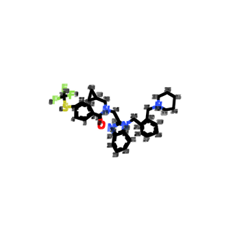 O=C(c1ccc(SC(F)(F)F)cc1)N(Cc1nc2ccccc2n1Cc1ccccc1CN1CCCCC1)CC1CC1